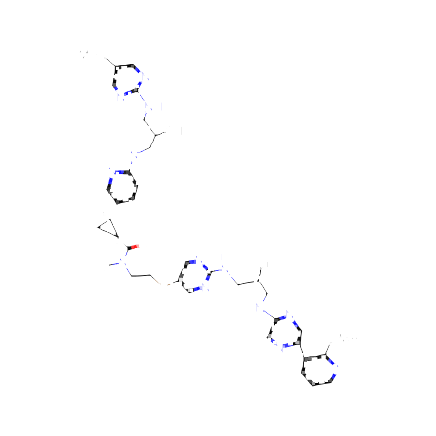 COc1ncccc1-c1cnc(NCC(C)CNc2ncc(SCCN(C)C(=O)[C@H]3C[C@@H]3c3ccc(NCC(C)CNc4ncc(SC)cn4)nc3)cn2)cn1